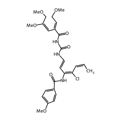 C\C=C/C(Cl)=C(\C=C\NC(=O)NC(=O)C(/C=C(\COC)OC)=C/COC)NC(=O)c1ccc(OC)cc1